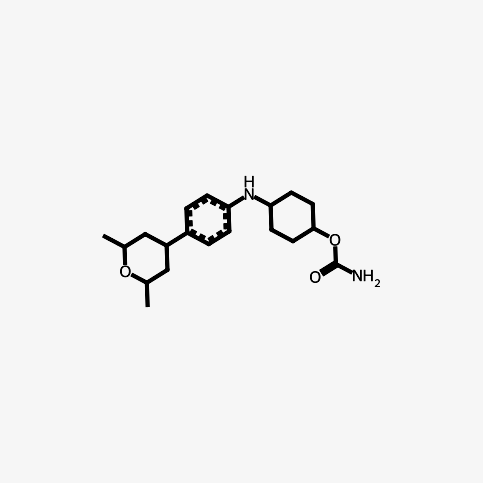 CC1CC(c2ccc(NC3CCC(OC(N)=O)CC3)cc2)CC(C)O1